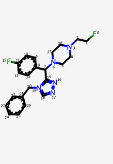 FCCN1CCN(C(c2ccc(F)cc2)c2nncn2Cc2ccccc2)CC1